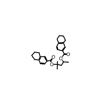 CC(CC(C)(C)OC(=O)c1ccc2c(c1)CCCC2)OC(=O)c1ccc2c(c1)CCCC2